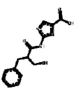 O=C(O)c1csc(NC(=O)C(CS)Cc2ccccc2)n1